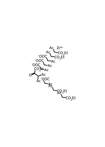 CC(=O)C(C(C)=O)C(=O)C(=O)O.CC(=O)CC(=O)[O-].CC(=O)CC(=O)[O-].CC(=O)CC(=O)[O-].CC(=O)CC(=O)[O-].CCOC(=O)CC(C)=O.CCOC(=O)CC(C)=O.CCOC(=O)CC(C)=O.CCOC(=O)CC(C)=O.[Zr+4]